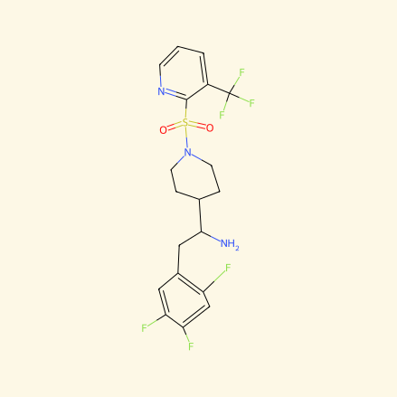 NC(Cc1cc(F)c(F)cc1F)C1CCN(S(=O)(=O)c2ncccc2C(F)(F)F)CC1